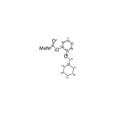 CNC(=O)Oc1ccccc1OCC1CCCCC1